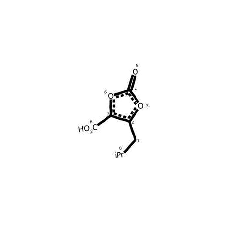 CC(C)Cc1oc(=O)oc1C(=O)O